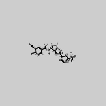 N#Cc1cc(C(=O)N[C@H]2CCn3nc(-c4ccnc(C(F)(F)F)c4)cc32)ccc1F